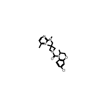 Cc1ccnc(N(C)CC2(C)CN(C(=O)N3c4ccc(Cl)cc4OCC3C)C2)n1